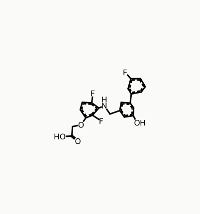 O=C(O)COc1ccc(F)c(NCc2cc(O)cc(-c3cccc(F)c3)c2)c1F